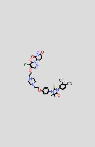 CC1(C)C(=O)N(c2ccc(C#N)c(C(F)(F)F)c2)C(=S)N1c1ccc(OCCN2CCN(CCOc3cnn(C4CCC(=O)NC4=O)c(=O)c3Cl)CC2)cc1